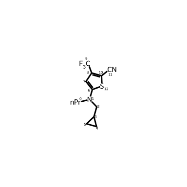 CCCN(CC1CC1)c1cc(C(F)(F)F)c(C#N)s1